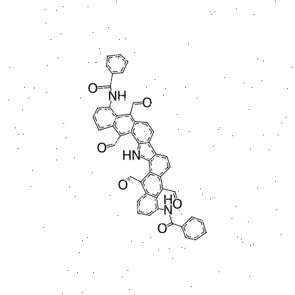 O=Cc1c2ccc3c4ccc5c(C=O)c6c(NC(=O)c7ccccc7)cccc6c(C=O)c5c4[nH]c3c2c(C=O)c2cccc(NC(=O)c3ccccc3)c12